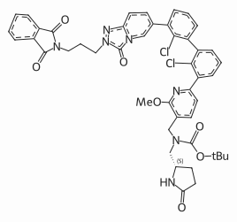 COc1nc(-c2cccc(-c3cccc(-c4ccc5nn(CCCN6C(=O)c7ccccc7C6=O)c(=O)n5c4)c3Cl)c2Cl)ccc1CN(C[C@@H]1CCC(=O)N1)C(=O)OC(C)(C)C